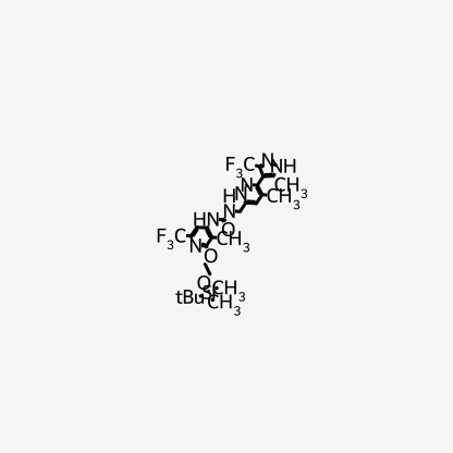 Cc1cc(CNC(=O)Nc2cc(C(F)(F)F)nc(OCCO[Si](C)(C)C(C)(C)C)c2C)nnc1-c1c(C(F)(F)F)n[nH]c1C